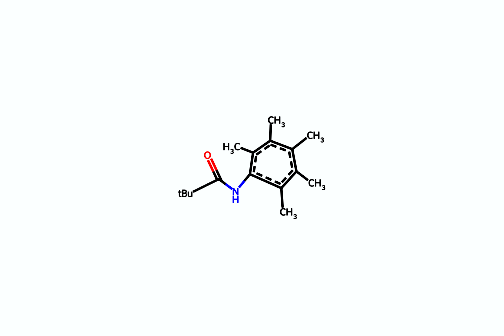 Cc1c(C)c(C)c(NC(=O)C(C)(C)C)c(C)c1C